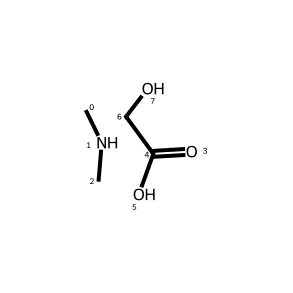 CNC.O=C(O)CO